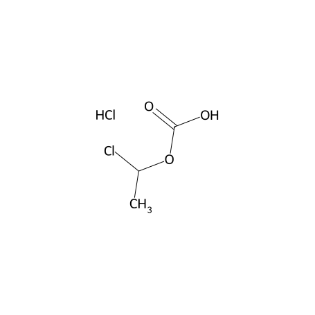 CC(Cl)OC(=O)O.Cl